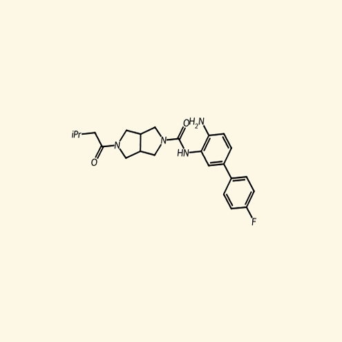 CC(C)CC(=O)N1CC2CN(C(=O)Nc3cc(-c4ccc(F)cc4)ccc3N)CC2C1